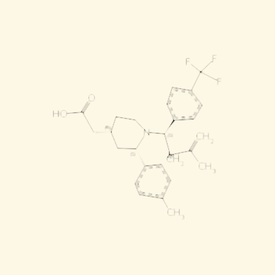 C=C(C)C(=C)[C@H](c1ccc(C(F)(F)F)cc1)N1CC[C@@H](CC(=O)O)C[C@H]1c1ccc(C)cc1